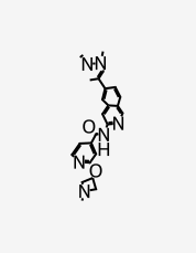 C=NN(C)/C=C(\C)c1ccc2cnc(NC(=O)c3ccnc(OC4CN(C)C4)c3)cc2c1